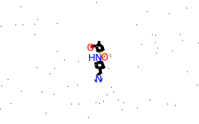 Cc1ccc([S+]([O-])Nc2ccc(CCN(C)C)cc2)cc1C=O